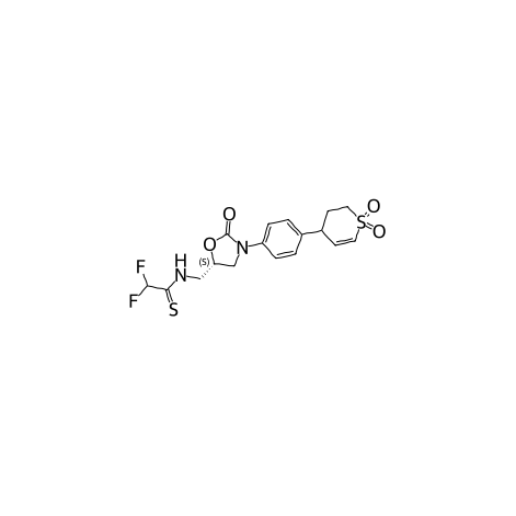 O=C1O[C@@H](CNC(=S)C(F)F)CN1c1ccc(C2C=CS(=O)(=O)CC2)cc1